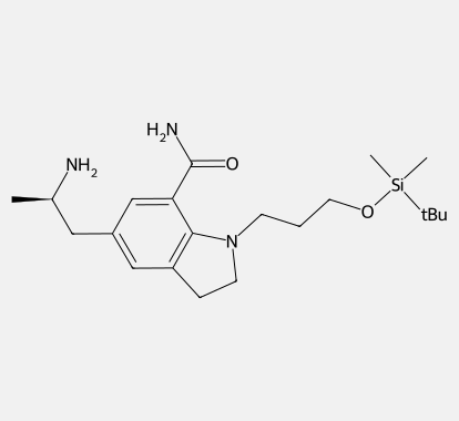 C[C@@H](N)Cc1cc2c(c(C(N)=O)c1)N(CCCO[Si](C)(C)C(C)(C)C)CC2